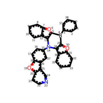 c1ccc(B2c3oc4ccccc4c3N(c3ccc4oc5ccncc5c4c3)c3c2oc2ccccc32)cc1